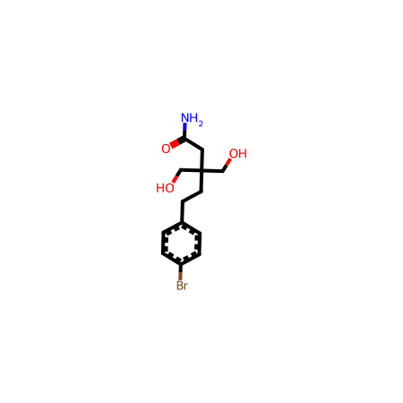 NC(=O)CC(CO)(CO)CCc1ccc(Br)cc1